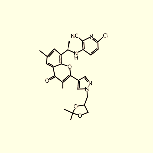 Cc1cc([C@@H](C)Nc2ccc(Cl)nc2C#N)c2oc(-c3cnn(CC4COC(C)(C)O4)c3)c(C)c(=O)c2c1